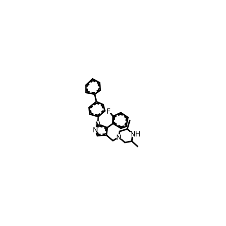 CC1CN(Cc2cnn(-c3ccc(-c4ccccc4)cc3)c2-c2ccccc2F)CC(C)N1